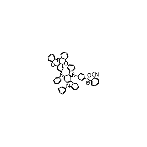 N#Cc1ccccc1S(=O)(=O)c1ccc(-n2c3ccccc3c3c2c2c4ccccc4n(-c4ccccc4)c2c2c4ccccc4n(-c4cc5c6c(c4)OC4C=CC=CC4B6c4ccccc4O5)c23)cc1